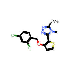 CSc1nnc(-c2sccc2OCc2ccc(Cl)cc2Cl)n1C